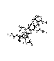 CC(C)C[C@H](NC(=O)[C@H](CC(C)C)NC(=O)[C@@H](N)CCN)C(=O)N[C@@H](CCN)C(=O)N[C@H](C(=O)O)[C@@H](C)O